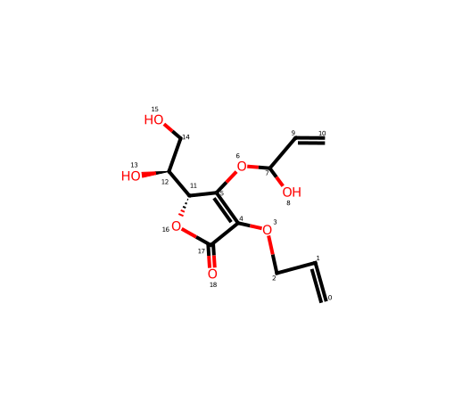 C=CCOC1=C(OC(O)C=C)[C@@H]([C@@H](O)CO)OC1=O